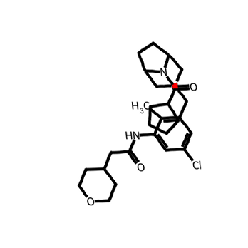 Cc1c(CN2CC3CCC(C2)N3C(=O)C2CCCC2)cc(Cl)cc1NC(=O)CC1CCOCC1